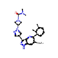 COc1cc2[nH]nc(-c3cnn(C4CN(C(=O)N(C)C)C4)c3)c2nc1-c1cccc(C)c1C